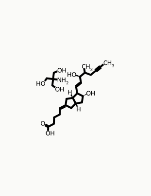 CC#CCC(C)[C@H](O)/C=C/C1[C@H](O)C[C@@H]2C/C(=C\CCCC(=O)O)C[C@H]12.NC(CO)(CO)CO